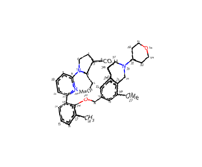 COCC1C(C(=O)O)CCN1c1cccc(-c2cccc(C)c2OCc2cc3c(c(OC)c2)CN(C2CCOCC2)CC3)n1